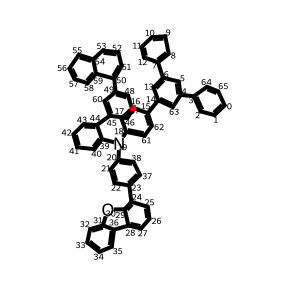 c1ccc(-c2cc(-c3ccccc3)cc(-c3ccc(N(c4ccc(-c5cccc6c5oc5ccccc56)cc4)c4ccccc4-c4cccc(-c5cccc6ccccc56)c4)cc3)c2)cc1